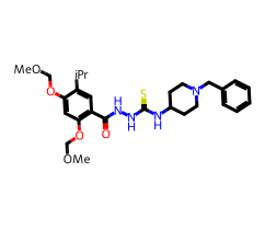 COCOc1cc(OCOC)c(C(C)C)cc1C(=O)NNC(=S)NC1CCN(Cc2ccccc2)CC1